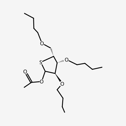 CCCCOC[C@H]1SC(OC(C)=O)[C@H](OCCCC)[C@H]1OCCCC